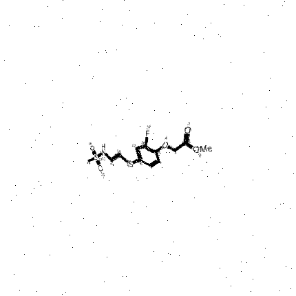 COC(=O)COc1ccc(SCCNS(C)(=O)=O)cc1F